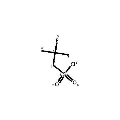 CC(C)(F)CS(=O)(=O)Cl